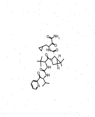 CC(C)[C@H](NC(=O)N[C@H](C(=O)N1C[C@@H]2[C@@H]([C@H]1C(=O)NC(CC1CC1)C(=O)C(N)=O)C2(C)C)C(C)(C)C)C(=O)c1ccccn1